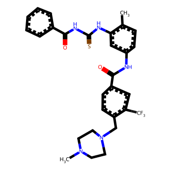 Cc1ccc(NC(=O)c2ccc(CN3CCN(C)CC3)c(C(F)(F)F)c2)cc1NC(=S)NC(=O)c1ccccc1